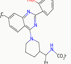 CCC(NC(=O)O)C1CCCN(c2nc(-c3ccccc3O)nc3cc(C)ccc23)C1